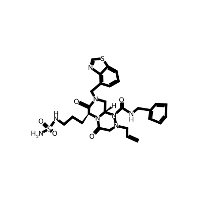 C=CCN1CC(=O)N2[C@@H](CCCNS(N)(=O)=O)C(=O)N(Cc3cccc4scnc34)C[C@@H]2N1C(=O)NCc1ccccc1